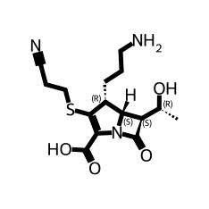 C[C@@H](O)[C@H]1C(=O)N2C(C(=O)O)=C(SCCC#N)[C@H](CCCN)[C@H]12